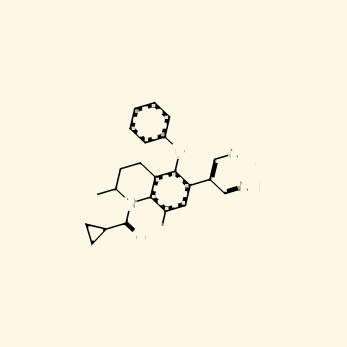 CC1CCc2c(Oc3ccccc3)c(/C(C=N)=C/N)cc(F)c2N1C(=O)C1CC1